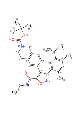 CCNC(=O)c1onc(-c2cc(C(C)C)c(C)cc2C)c1-c1ccc2c(c1)CCN(C(=O)OC(C)(C)C)C2